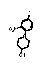 O=[N+]([O-])c1cc(F)ccc1N1CCC(O)CC1